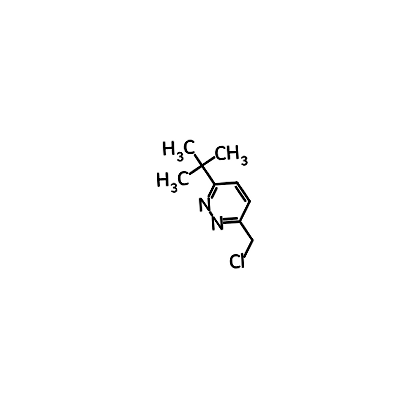 CC(C)(C)c1ccc(CCl)nn1